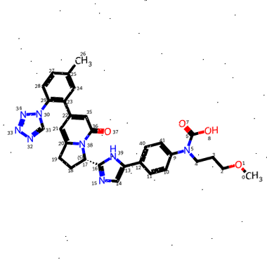 COCCCN(C(=O)O)c1ccc(-c2cnc([C@@H]3CCc4cc(-c5cc(C)ccc5-n5cnnn5)cc(=O)n43)[nH]2)cc1